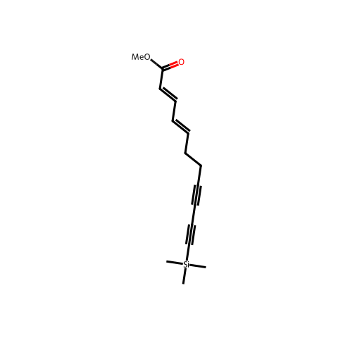 COC(=O)C=CC=CCCC#CC#C[Si](C)(C)C